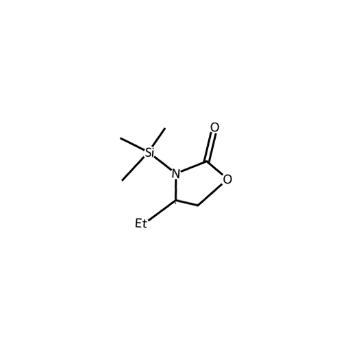 CC[C]1COC(=O)N1[Si](C)(C)C